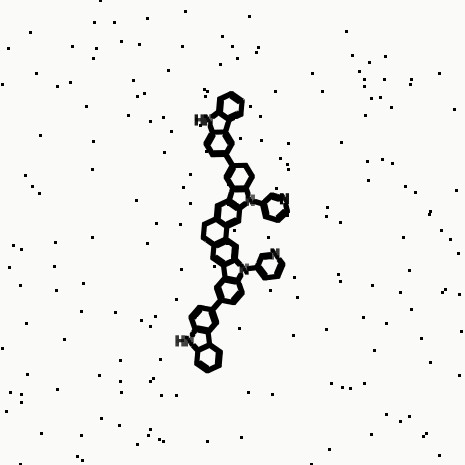 C1=CC2Nc3ccc(-c4ccc5c(c4)c4cc6c(cc4n5-c4cccnc4)-c4cc5c(cc4CC6)c4c(n5-c5cccnc5)CCC(c5ccc6[nH]c7ccccc7c6c5)=C4)cc3C2C=C1